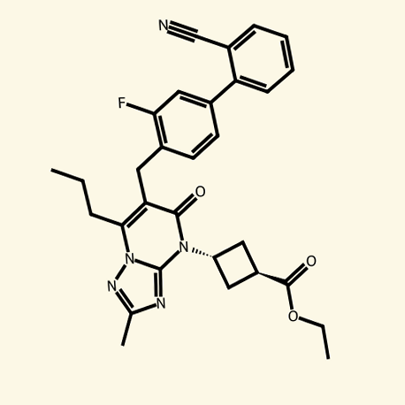 CCCc1c(Cc2ccc(-c3ccccc3C#N)cc2F)c(=O)n([C@H]2C[C@H](C(=O)OCC)C2)c2nc(C)nn12